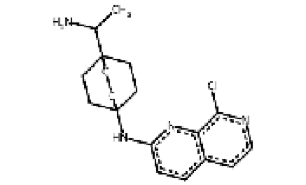 CC(N)C12CCC(Nc3ccc4ccnc(Cl)c4n3)(CC1)CC2